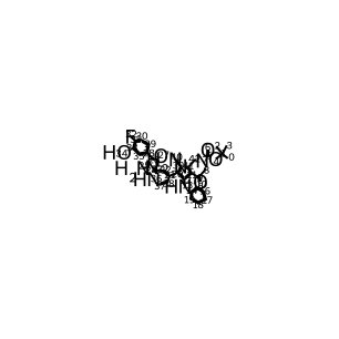 CC(C)(C)OC(=O)N1CC(=O)c2c(Nc3ccccc3)c(C3=CC(N(N)C(=O)c4ccc(F)c(O)c4)NC=C3)n(N)c2C1